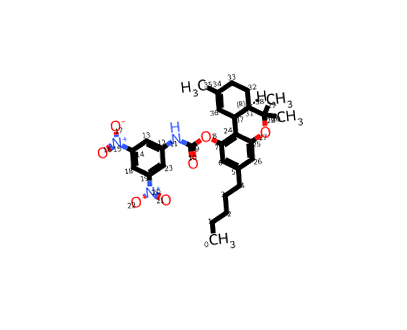 CCCCCc1cc(OC(=O)Nc2cc([N+](=O)[O-])cc([N+](=O)[O-])c2)c2c(c1)OC(C)(C)[C@@H]1CCC(C)=CC21